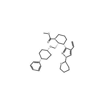 C=Cc1cn(C2CCCCO2)nc1[C@H]1CCCN(C(=O)OC)[C@H]1CO[C@H]1CC[C@@H](c2ccccc2)CC1